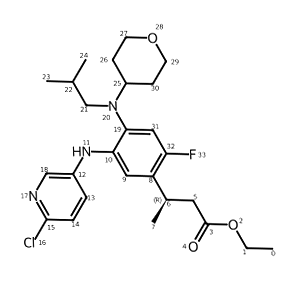 CCOC(=O)C[C@@H](C)c1cc(Nc2ccc(Cl)nc2)c(N(CC(C)C)C2CCOCC2)cc1F